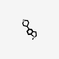 CN1CCc2cc(C3CC[N]CC3)ccc21